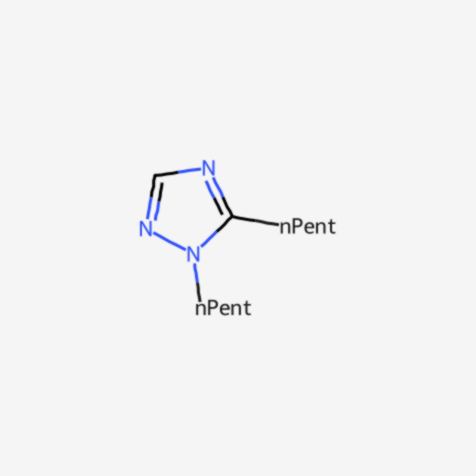 CCCCCc1ncnn1CCCCC